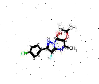 Cc1nc2c(F)c(-c3ccc(Cl)cc3)nn2c(O)c1OC(C)C